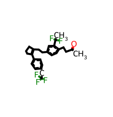 CC(=O)CCc1ccc(CCC2=C(c3ccc(CC(F)(F)F)cc3)CCC2)cc1C(C)(F)F